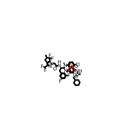 CC1Cc2c(C(F)F)nn(CC(=O)NC(Cc3cc(F)cc(F)c3)/C(=N/c3cc(OCC4CCCCC4)ccc3C=O)N(C)c3ccc(Cl)c4c(N[S+](C)[O-])nn(C)c34)c2C1(F)F